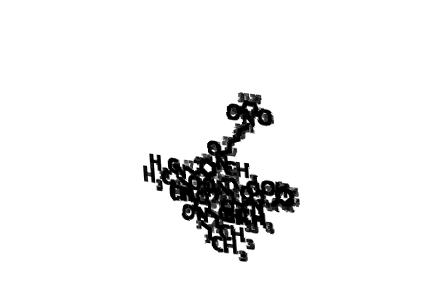 CCCCN(C(=O)CNC(=O)[C@H](C(C)C)N(C)CCc1ccc(N(C)C(=O)CCCCCN2C(=O)C=CC2=O)cc1)[C@@H]([C@@H](C)CC)[C@@H](CC(=O)N1CCC[C@H]1[C@H](OC)[C@@H](C)C(=O)N[C@@H](Cc1ccccc1)C(=O)O)OC